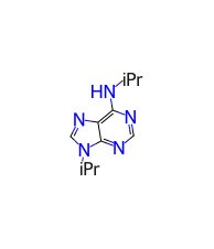 CC(C)Nc1ncnc2c1ncn2C(C)C